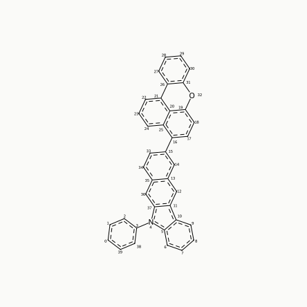 c1ccc(-n2c3ccccc3c3cc4cc(-c5ccc6c7c(cccc57)-c5ccccc5O6)ccc4cc32)cc1